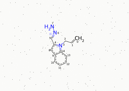 C=CCn1c(/C=N/N)cc2ccccc21